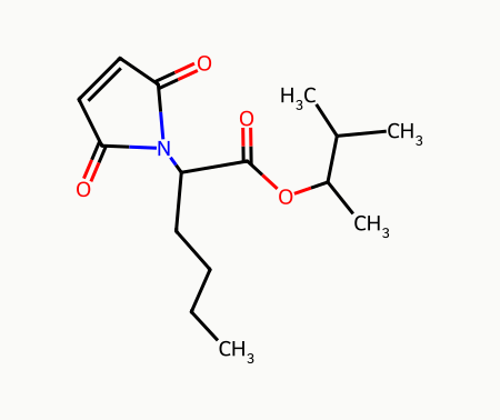 CCCCC(C(=O)OC(C)C(C)C)N1C(=O)C=CC1=O